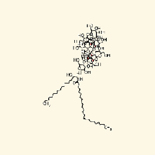 CCCCCCCC/C=C\CCCCCCCCCCCCCC(=O)N[C@@H](CO[C@@H]1OC(CO)[C@@H](O[C@@H]2OC(CO)[C@H](O[C@@H]3OC(CO)[C@H](O)[C@H](O[C@@H]4OC(CO)[C@H](O)[C@H](O[C@H]5OC(CO)[C@H](O)[C@H](O)C5O)C4O[C@H]4OC(C)[C@@H](O)C(O)[C@@H]4O)C3NC(C)=O)[C@H](O[C@]3(C(=O)O)CC(O)[C@@H](NC(C)=O)C([C@H](O)[C@H](O)CO)O3)C2O)[C@H](O)C1O)[C@H](O)/C=C/CCCCCCCCCCCCC